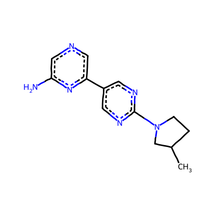 CC1CCN(c2ncc(-c3cncc(N)n3)cn2)C1